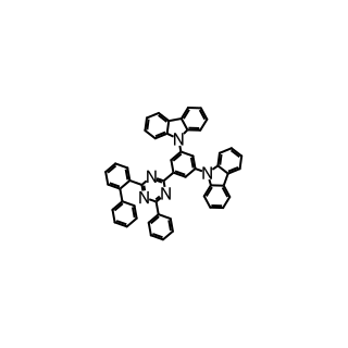 c1ccc(-c2nc(-c3cc(-n4c5ccccc5c5ccccc54)cc(-n4c5ccccc5c5ccccc54)c3)nc(-c3ccccc3-c3ccccc3)n2)cc1